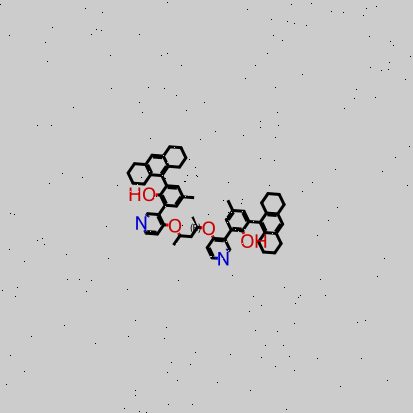 Cc1cc(-c2cnccc2OC(C)C[C@@H](C)Oc2ccncc2-c2cc(C)cc(-c3c4c(cc5c3CCCC5)CCCC4)c2O)c(O)c(-c2c3c(cc4c2CCCC4)CCCC3)c1